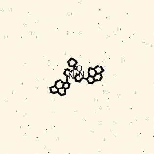 O=P(c1ccccc1)(c1cccc(-c2ccc3ccc4cccc5ccc2c3c45)n1)c1cccc(-c2ccc3ccc4cccc5ccc2c3c45)n1